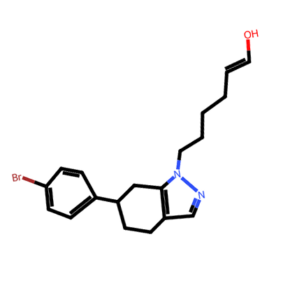 O/C=C/CCCCn1ncc2c1CC(c1ccc(Br)cc1)CC2